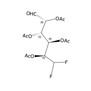 CC(=O)O[C@H]([C@H](OC(C)=O)[C@H](C=O)OC(C)=O)[C@H](OC(C)=O)C(F)F